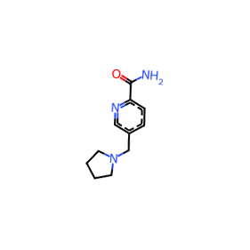 NC(=O)c1ccc(CN2CCCC2)cn1